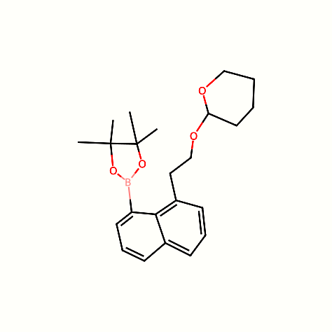 CC1(C)OB(c2cccc3cccc(CCOC4CCCCO4)c23)OC1(C)C